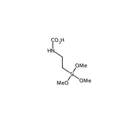 CO[Si](CCNC(=O)O)(OC)OC